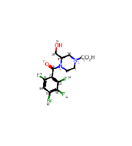 O=C(O)N1CCN(C(=O)c2c(F)cc(Br)c(F)c2F)C(CO)C1